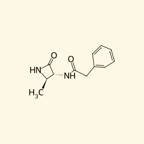 C[C@H]1NC(=O)[C@@H]1NC(=O)Cc1ccccc1